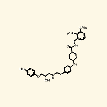 COc1cccc(CNC(=O)N2CCC(Nc3ccc(CCNC[C@H](O)COc4ccc(O)cc4)cc3)CC2)c1OC